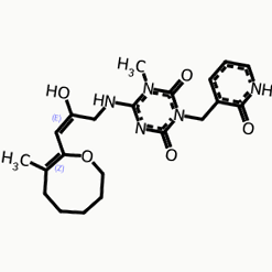 C/C1=C(\C=C(\O)CNc2nc(=O)n(Cc3ccc[nH]c3=O)c(=O)n2C)OCCCCC1